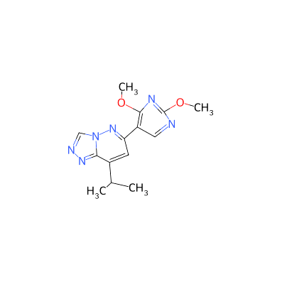 COc1ncc(-c2cc(C(C)C)c3nncn3n2)c(OC)n1